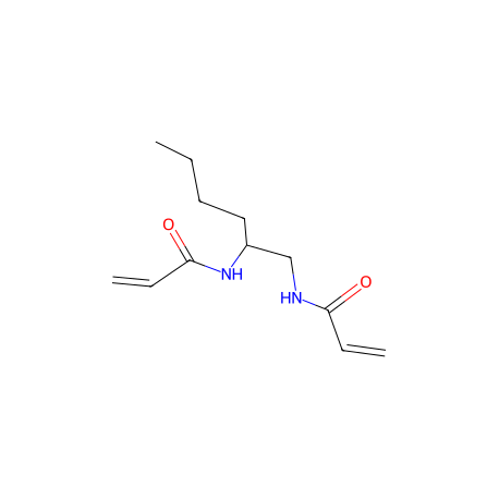 C=CC(=O)NCC(CCCC)NC(=O)C=C